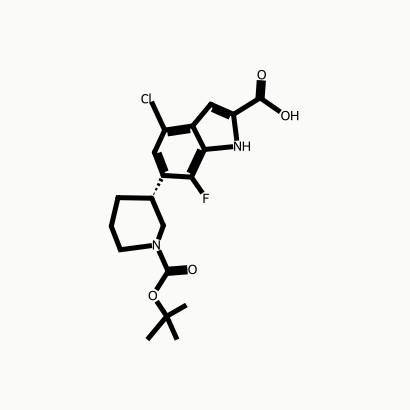 CC(C)(C)OC(=O)N1CCC[C@H](c2cc(Cl)c3cc(C(=O)O)[nH]c3c2F)C1